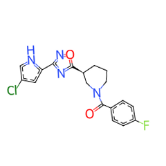 O=C(c1ccc(F)cc1)N1CCC[C@H](c2nc(-c3cc(Cl)c[nH]3)no2)C1